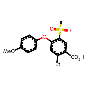 CCc1cc(Oc2ccc(OC)cc2)c(S(C)(=O)=O)cc1C(=O)O